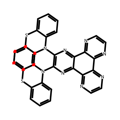 c1ccc2c(c1)Sc1ccccc1N2c1nc2c3nccnc3c3nccnc3c2nc1N1c2ccccc2Sc2ccccc21